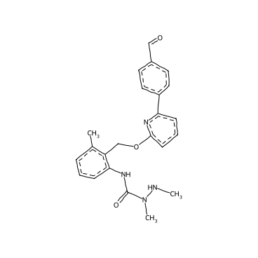 CNN(C)C(=O)Nc1cccc(C)c1COc1cccc(-c2ccc(C=O)cc2)n1